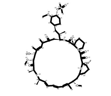 CO[C@H]1C[C@@H]2CC[C@@H](C)[C@@](O)(O2)C(=O)C(=O)N2CCCC[C@H]2C(=O)O[C@H]([C@H](C)C[C@@H]2CC[C@@H](OP(C)(C)=O)[C@H](OC)C2)CC(=O)C(C)/C=C(\C)[C@@H](O)[C@@H](OC)C(=O)[C@H](C)C[C@H](C)/C=C/C=C/C=C\1C